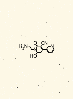 N#Cc1c(-c2cccnc2)cc(O)n(CCN)c1=O